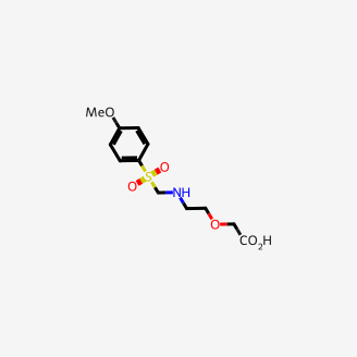 COc1ccc(S(=O)(=O)CNCCOCC(=O)O)cc1